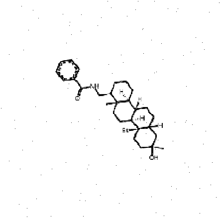 CC[C@]12CC[C@@](C)(O)C[C@H]1CC[C@H]1[C@@H]3CCC[C@H](CNC(=O)c4ccccc4)[C@@]3(C)CC[C@@H]12